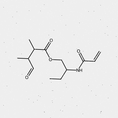 C=CC(=O)NC(CC)COC(=O)C(C)C(C)C=O